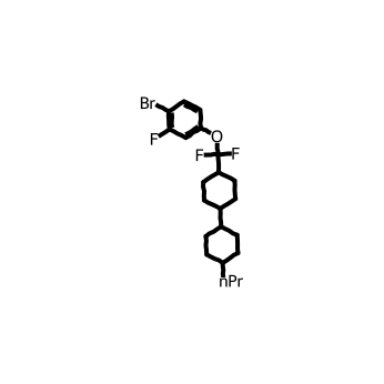 CCCC1CCC(C2CCC(C(F)(F)Oc3ccc(Br)c(F)c3)CC2)CC1